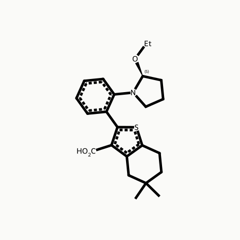 CCO[C@H]1CCCN1c1ccccc1-c1sc2c(c1C(=O)O)CC(C)(C)CC2